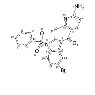 Nc1ccc(C(=O)c2cn(S(=O)(=O)c3ccccc3)c3ncc(Br)cc23)c(F)n1